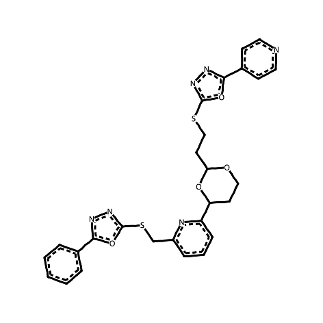 c1ccc(-c2nnc(SCc3cccc(C4CCOC(CCSc5nnc(-c6ccncc6)o5)O4)n3)o2)cc1